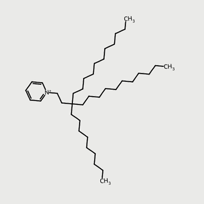 CCCCCCCCCCCC(CCCCCCCCC)(CCCCCCCCCCC)CC[n+]1ccccc1